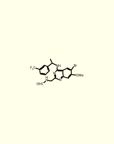 COc1cc2nc(CNC=O)nc(NC(C)c3cccc(C(F)(F)F)c3)c2cc1Br